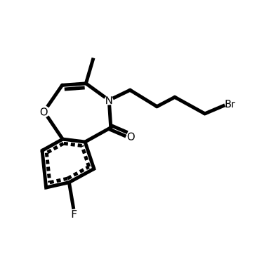 CC1=COc2ccc(F)cc2C(=O)N1CCCCBr